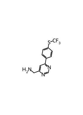 NCc1cc(-c2ccc(SC(F)(F)F)cc2)ncn1